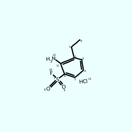 CCc1cccc(S(=O)(=O)F)c1N.Cl